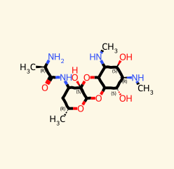 CNC1C2O[C@@]3(O)C(NC(=O)[C@@H](C)N)C[C@@H](C)OC3OC2[C@@H](O)[C@H](NC)[C@@H]1O